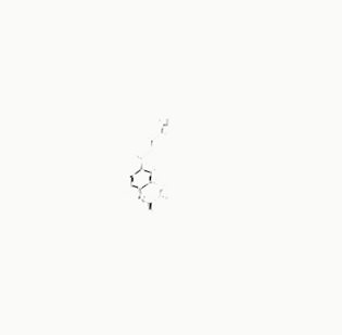 CCC1Oc2cc(CCCCN)ccc2NC1=O